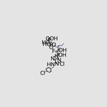 CC/C=C(/COP(=O)(O)CP(=O)(O)O)[C@@H](O)[C@H](F)[C@@H](O)n1cnc2c(NCc3ccc(Cl)cc3)nc(Cl)nc21